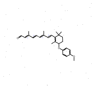 COc1ccc(OC2CCC(C)(C)C(/C=C/C(C)=C/C=C/C(C)=C/C=O)=C2C)cc1